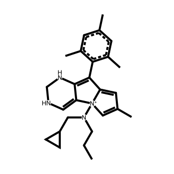 CCCN(CC1CC1)[N+]12C=C(C)C=C1C(c1c(C)cc(C)cc1C)=C1NCNC=C12